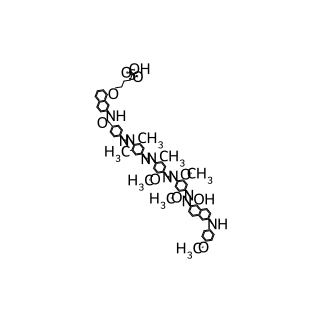 COc1ccc(Nc2ccc3c(O)c(N=Nc4cc(OC)c(N=Nc5cc(C)c(N=Nc6cc(C)c(N=Nc7ccc(C(=O)Nc8ccc9cccc(OCCCCS(=O)(=O)O)c9c8)cc7)c(C)c6)cc5OC)cc4OC)ccc3c2)cc1